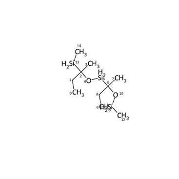 CCC(C)(O[SiH2]C(C)(CC)O[SiH2]C)[SiH2]C